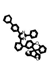 C1=CCCC(c2ccc(-c3cc(-c4ccccc4-c4ccc5c(c4)C4(c6ccccc6O5)c5ccccc5-c5ccccc54)nc(-c4ccccc4)n3)cc2)=C1